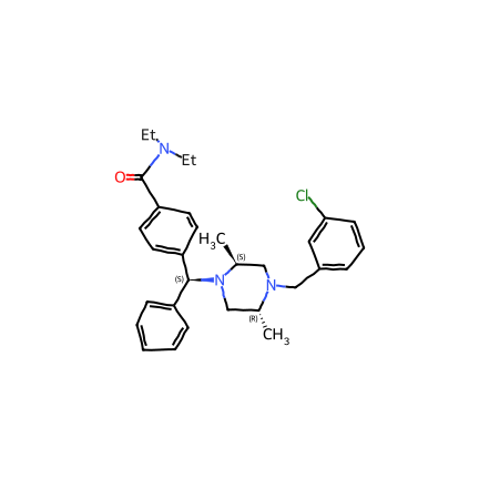 CCN(CC)C(=O)c1ccc([C@H](c2ccccc2)N2C[C@@H](C)N(Cc3cccc(Cl)c3)C[C@@H]2C)cc1